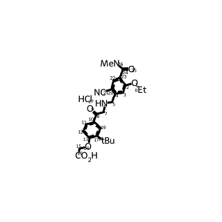 CCOc1cc(CNCC(=O)c2ccc(OCC(=O)O)c(C(C)(C)C)c2)c(C#N)cc1C(=O)NC.Cl